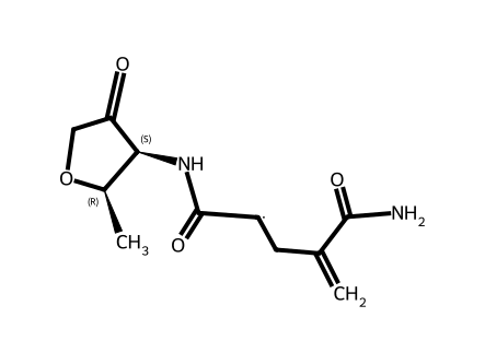 C=C(C[CH]C(=O)N[C@@H]1C(=O)CO[C@@H]1C)C(N)=O